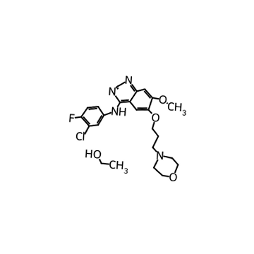 CCO.COc1cc2ncnc(Nc3ccc(F)c(Cl)c3)c2cc1OCCCN1CCOCC1